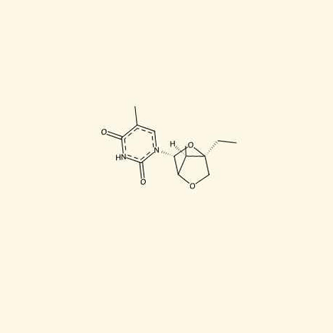 CC[C@@]12COC([C@H](n3cc(C)c(=O)[nH]c3=O)O1)[C@H]2C